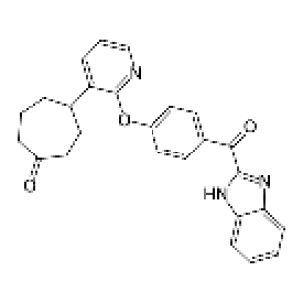 O=C1CCCC(c2cccnc2Oc2ccc(C(=O)c3nc4ccccc4[nH]3)cc2)CC1